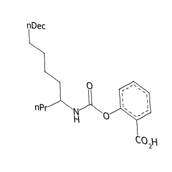 CCCCCCCCCCCCCCC(CCC)NC(=O)Oc1ccccc1C(=O)O